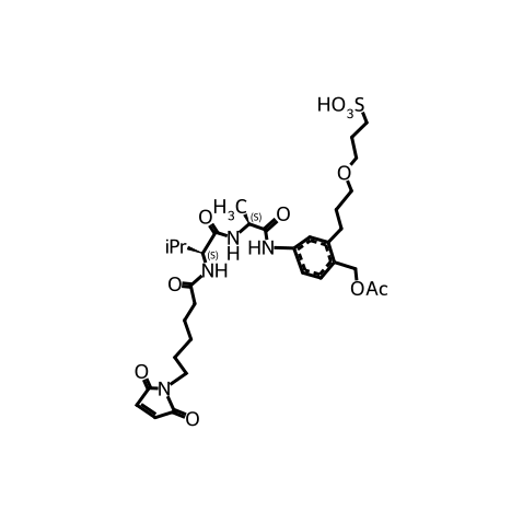 CC(=O)OCc1ccc(NC(=O)[C@H](C)NC(=O)[C@@H](NC(=O)CCCCCN2C(=O)C=CC2=O)C(C)C)cc1CCCOCCCS(=O)(=O)O